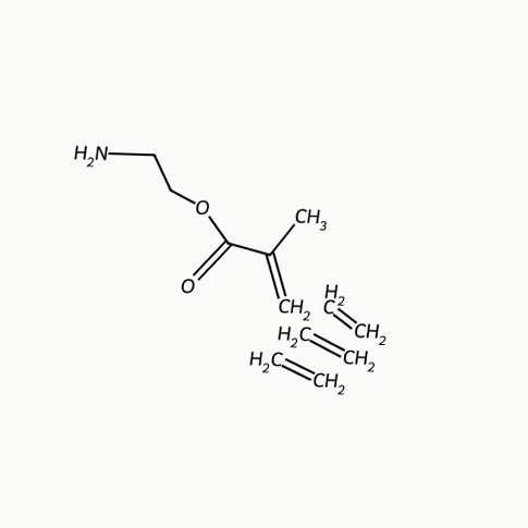 C=C.C=C.C=C.C=C(C)C(=O)OCCN